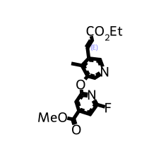 CCOC(=O)/C=C/c1cncc(Oc2cc(C(=O)OC)cc(F)n2)c1C